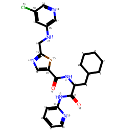 O=C(NC(CC1CCCCC1)C(=O)Nc1ccccn1)c1cnc(CNc2cncc(Cl)c2)s1